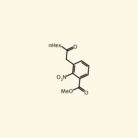 CCCCCCC(=O)Cc1cccc(C(=O)OC)c1[N+](=O)[O-]